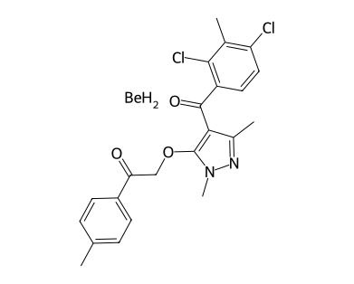 Cc1ccc(C(=O)COc2c(C(=O)c3ccc(Cl)c(C)c3Cl)c(C)nn2C)cc1.[BeH2]